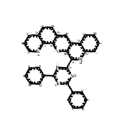 c1ccc(-c2nc(-c3ccccc3)nc(-c3nc4ccccc4c4cc5ccc6cccnc6c5nc34)n2)cc1